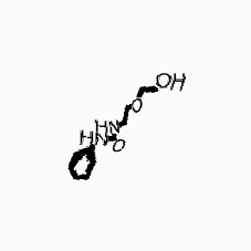 O=C(NCCOCCO)Nc1ccccc1